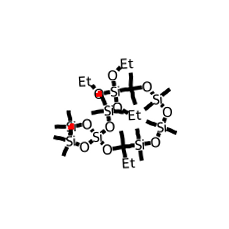 CCO[Si](OCC)(OCC)C(C)(C)O[Si](C)(C)O[Si](C)(C)O[Si](C)(C)C(C)(CC)O[Si](O[Si](C)(C)C)(O[Si](C)(C)C)O[Si](C)(C)C